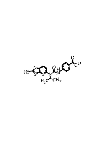 CC(C)N(C(=O)Nc1ccc(C(=O)O)cc1)c1ccc2nc(S)sc2n1